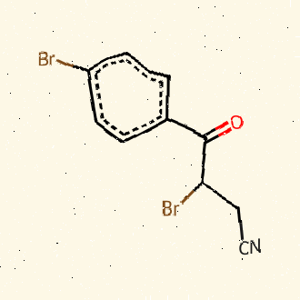 N#CCC(Br)C(=O)c1ccc(Br)cc1